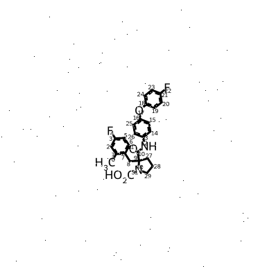 Cc1cc(F)ccc1CC1(C(=O)Nc2ccc(Oc3ccc(F)cc3)cc2)CCCN1C(=O)O